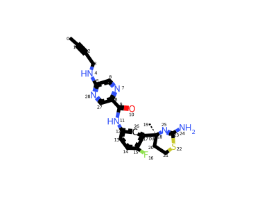 CC#CCNc1cnc(C(=O)Nc2ccc(F)c([C@]3(C)CCSC(N)=N3)c2)cn1